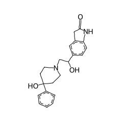 O=C1Cc2cc(C(O)CN3CCC(O)(c4ccccc4)CC3)ccc2N1